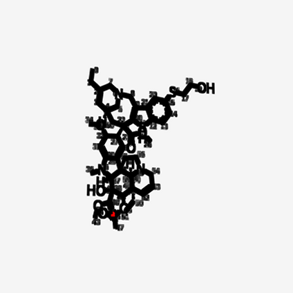 CCC1=C[C@H]2CN(C1)CC1=C(Bc3ccc(SCCO)cc31)[C@@](C(=O)OC)(C1C=C3C(=CC1OC)N(C)[C@H]1[C@@](O)(C(=O)OC)[C@H](OC(C)=O)[C@]4(CC)C=CCN5CC[C@]31[C@@H]54)C2